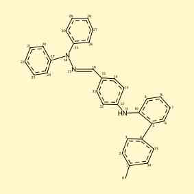 Cc1ccc(-c2ccccc2Nc2ccc(/C=N/N(c3ccccc3)c3ccccc3)cc2)cc1